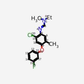 CCN(C)C=Nc1cc(C)c(Oc2cccc(F)c2)cc1Cl